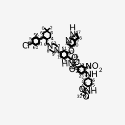 CC1(C)CCC(CN2CCN(c3ccc(C(=O)NS(=O)(=O)c4ccc(NC5CCC(NS(C)(=O)=O)CC5)c([N+](=O)[O-])c4)c(Oc4cnc5[nH]ccc5c4)c3)CC2)=C(c2ccc(Cl)cc2)C1